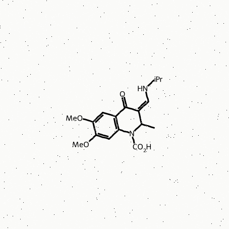 COc1cc2c(cc1OC)N(C(=O)O)C(C)C(=CNC(C)C)C2=O